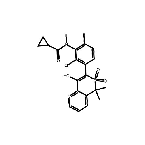 Cc1ccc(C2=C(O)c3ncccc3C(C)(C)S2(=O)=O)c(Cl)c1N(C)C(=O)C1CC1